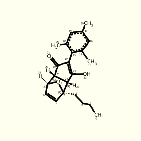 CCCC[C@]12C=C[C@H](O1)[C@@H]1C(=O)C(c3c(C)cc(C)cc3C)=C(O)[C@@H]12